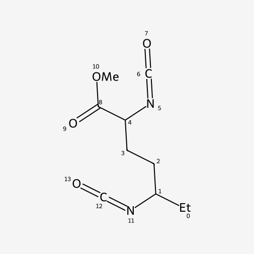 CCC(CCC(N=C=O)C(=O)OC)N=C=O